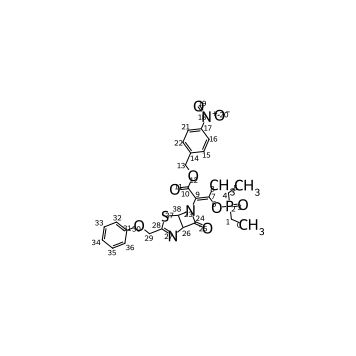 CCP(=O)(CC)OC(C)=C(C(=O)OCc1ccc([N+](=O)[O-])cc1)N1C(=O)C2N=C(COc3ccccc3)SC21